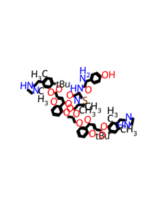 Cc1cc(C(C)(C)C)c(OC(=O)c2cc(=O)c3c(OCC(COc4cccc5oc(C(=O)Oc6c(C(C)(C)C)cc(C)c(CC7=NCCN7)c6C)cc(=O)c45)OC(=O)C4N5C(=O)C(NC(=O)C(N)c6ccc(O)cc6)C5SC4(C)C)cccc3o2)c(C)c1CC1=NCCN1